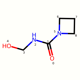 O=C(NCO)N1CCC1